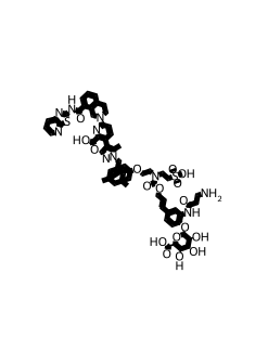 Cc1c(-c2ccc(N3CCc4cccc(C(=O)Nc5nc6cccnc6s5)c4C3)nc2C(=O)O)cnn1CC12CC3(C)CC(C)(C1)CC(OCCN(CCS(=O)(=O)O)C(=O)OC/C=C/c1ccc(O[C@@H]4O[C@H](C(=O)O)[C@@H](O)[C@H](O)[C@H]4O)c(NC(=O)CCN)c1)(C3)C2